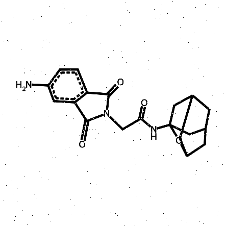 Nc1ccc2c(c1)C(=O)N(CC(=O)NC13CC4CC(CC(C4)O1)C3)C2=O